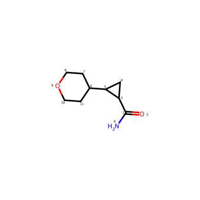 NC(=O)C1CC1C1CCOCC1